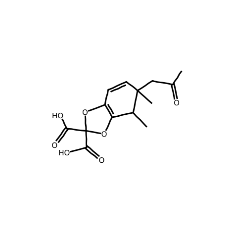 CC(=O)CC1(C)C=CC2=C(OC(C(=O)O)(C(=O)O)O2)C1C